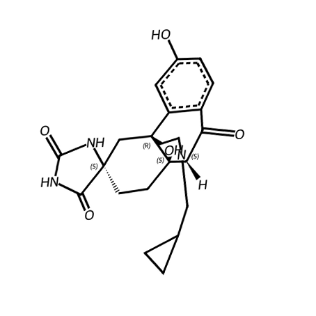 O=C1NC(=O)[C@@]2(CC[C@@]3(O)[C@H]4C(=O)c5ccc(O)cc5[C@@]3(CCN4CC3CC3)C2)N1